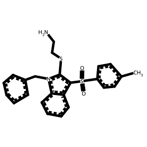 Cc1ccc(S(=O)(=O)c2c(SCCN)n(Cc3ccccc3)c3ccccc23)cc1